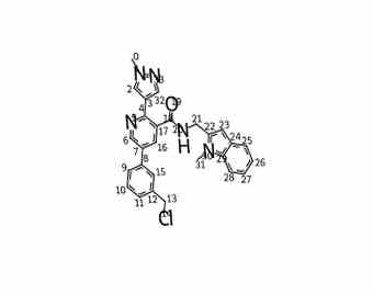 Cn1cc(-c2ncc(-c3cccc(CCl)c3)cc2C(=O)NCc2cc3ccccc3n2C)cn1